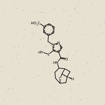 CCCSc1c(C(=O)NC2CCC3CC4C2C[C@@H]4C3)cnn1Cc1cccc(C(=O)O)c1